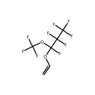 C=COC(F)(OC(F)(F)F)C(F)(F)C(F)(F)F